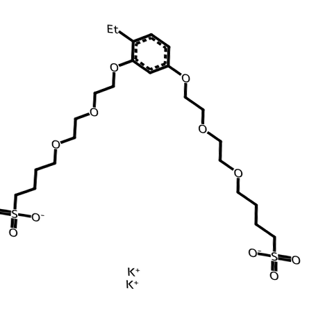 CCc1ccc(OCCOCCOCCCCS(=O)(=O)[O-])cc1OCCOCCOCCCCS(=O)(=O)[O-].[K+].[K+]